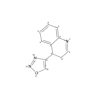 C1=Nc2ccccc2C(c2conn2)C1